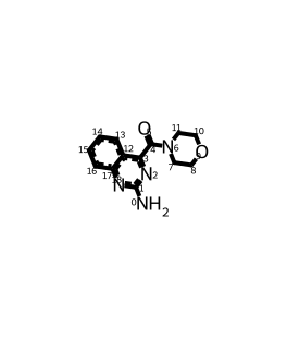 Nc1nc(C(=O)N2CCOCC2)c2ccccc2n1